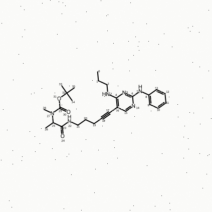 CCCNc1nc(Nc2ccccc2)ncc1C#CCCCNC(=O)C(C)N(C)C(=O)OC(C)(C)C